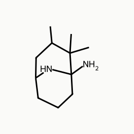 CC1CC2CCCC(N)(N2)C1(C)C